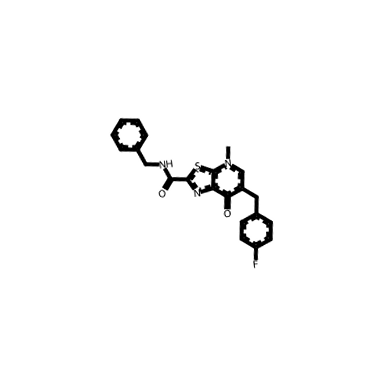 Cn1cc(Cc2ccc(F)cc2)c(=O)c2nc(C(=O)NCc3ccccc3)sc21